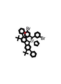 CC(C)(C)c1cc2c(cc1-c1ccccc1)[CH]([Zr](=[C](c1cccc(Br)c1)c1cccc(Br)c1)[CH]1C=CC=C1)c1cc(-c3ccccc3)c(C(C)(C)C)cc1-2